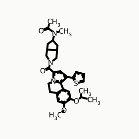 COc1cc2c(cc1OC(C)C)-c1c(-c3cccs3)cc(C(=O)N3CC4CC(N(C)C(C)=O)CC4C3)n1CC2